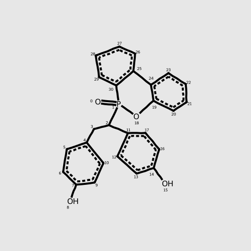 O=P1(C(Cc2ccc(O)cc2)c2ccc(O)cc2)Oc2ccccc2-c2ccccc21